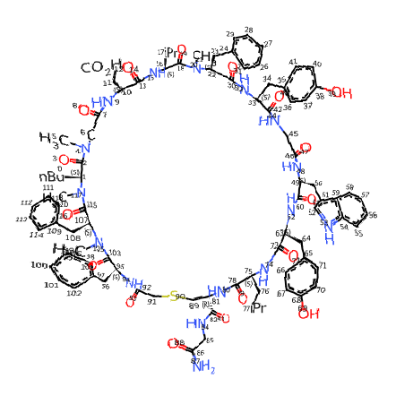 CCCC[C@H]1C(=O)N(C)CC(=O)N[C@@H](CC(=O)O)C(=O)N[C@@H](C(C)C)C(=O)N(C)[C@@H](Cc2ccccc2)C(=O)N[C@@H](Cc2ccc(O)cc2)C(=O)NCC(=O)N[C@@H](Cc2c[nH]c3ccccc23)C(=O)N[C@@H](Cc2ccc(O)cc2)C(=O)N[C@@H](CC(C)C)C(=O)N[C@H](C(=O)NCC(N)=O)CSCC(=O)N[C@@H](Cc2ccccc2)C(=O)N(C)[C@@H](Cc2ccccc2)C(=O)N1C